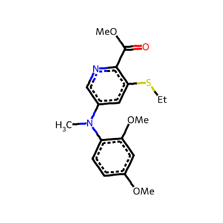 CCSc1cc(N(C)c2ccc(OC)cc2OC)cnc1C(=O)OC